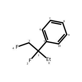 CCC(F)(CF)c1ccccc1